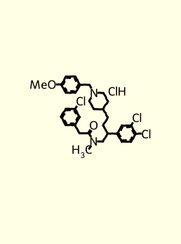 COc1ccc(CN2CCC(CCC(CN(C)C(=O)Cc3cccc(Cl)c3)c3ccc(Cl)c(Cl)c3)CC2)cc1.Cl